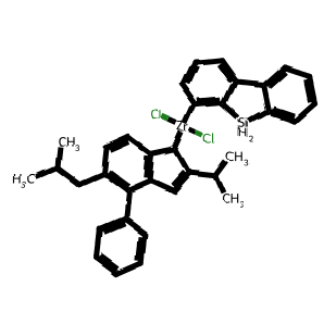 CC(C)Cc1ccc2c(c1-c1ccccc1)C=C(C(C)C)[CH]2[Zr]([Cl])([Cl])[c]1cccc2c1[SiH2]c1ccccc1-2